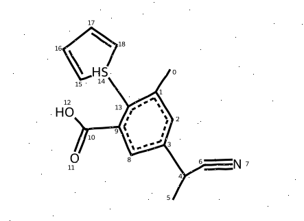 Cc1cc(C(C)C#N)cc(C(=O)O)c1[SH]1C=CC=C1